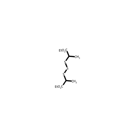 CCOC(=O)C(C)SSSC(C)C(=O)OCC